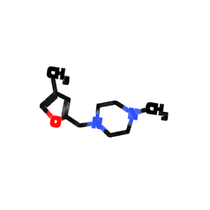 Cc1coc(CN2CCN(C)CC2)c1